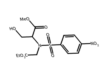 CCOC(=O)CN(C(CO)C(=O)OC)S(=O)(=O)c1ccc([N+](=O)[O-])cc1